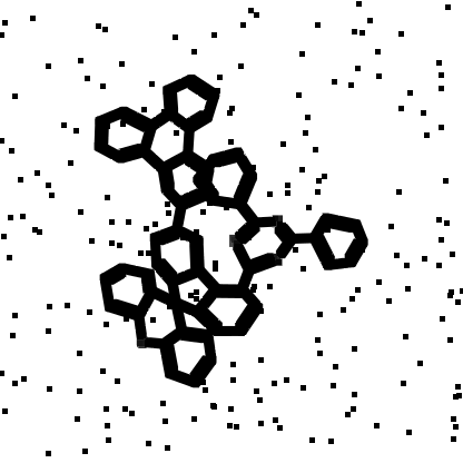 c1ccc(-c2nc(-c3ccccc3)nc(-c3cccc4c3-c3cc(-c5ccc6c7ccccc7c7ccccc7c6c5)ccc3C43c4ccccc4Oc4ccccc43)n2)cc1